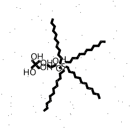 CCCCCCCCCCCC[SH](CCCCCCCCCCCC)(CCCCCCCCCCCC)(CCCCCCCCCCCC)OC(=O)CC.OCC(CO)(CO)CO